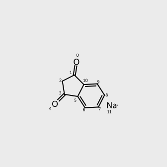 O=C1CC(=O)c2ccccc21.[Na]